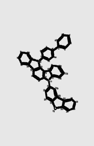 c1ccc(-c2ccc(-n3c4ccccc4c4ccc5c(c6ccccc6n5-c5ccc6oc7ccccc7c6c5)c43)cc2)cc1